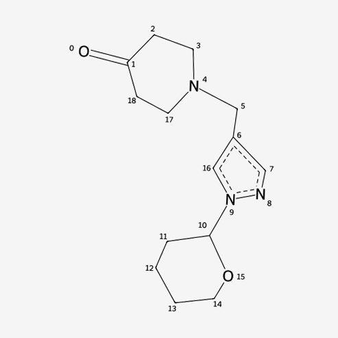 O=C1CCN(Cc2cnn(C3CCCCO3)c2)CC1